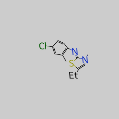 CCc1cn(C)c(=Nc2ccc(Cl)cc2C)s1